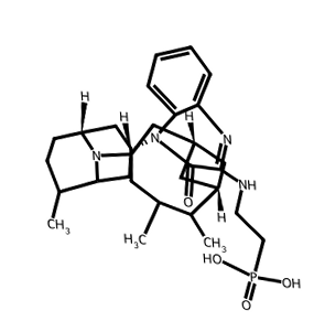 CC1CC[C@@H]2C[C@H](n3c(=O)c(NCCP(=O)(O)O)nc4ccccc43)CC1N2[C@H]1CC(C)C(C)[C@H]2C[C@@H](C1)C2